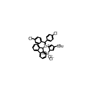 CCCCC1C=C(C(C)(C)C)C=[C]1[Zr+2](=[C](c1ccc(Cl)cc1)c1ccc(Cl)cc1)[CH]1c2ccccc2-c2ccccc21.[Cl-].[Cl-]